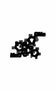 COC(=O)C1(N(Cc2ccccc2)S(=O)(=O)c2ccc(OC)cc2)CCSCC1